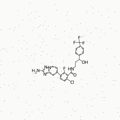 Nc1nc2cc(-c3ccc(Cl)c(C(=O)NCCC(O)c4ccc(C(F)(F)F)cc4)c3F)ccn2n1